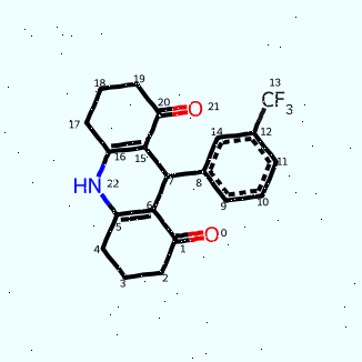 O=C1CCCC2=C1C(c1cccc(C(F)(F)F)c1)C1=C(CCCC1=O)N2